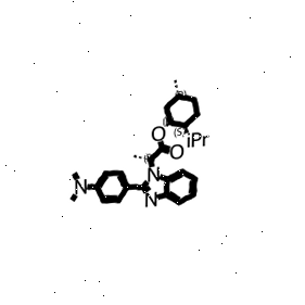 CC(C)[C@@H]1CC[C@@H](C)C[C@H]1OC(=O)[C@@H](C)n1c(-c2ccc(N(C)C)cc2)nc2ccccc21